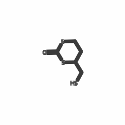 O=C1SCCC(CS)S1